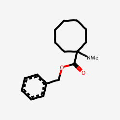 CNC1(C(=O)OCc2ccccc2)CCCCCCC1